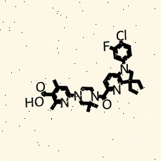 CCC1(CC)CN(c2ccc(Cl)c(F)c2)c2ccc(C(=O)N3CCN(c4cc(C)c(C(=O)O)c(C)n4)CC3(C)C)nc21